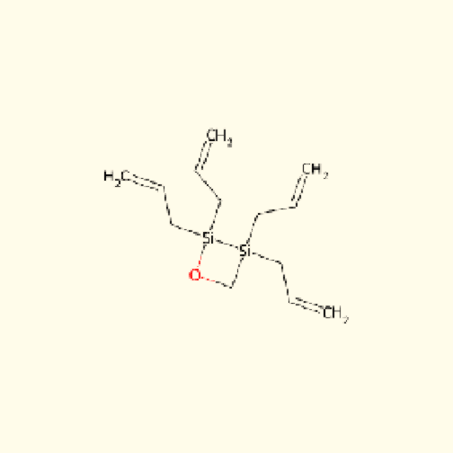 C=CC[Si]1(CC=C)CO[Si]1(CC=C)CC=C